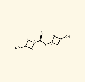 CC1CN(C(=O)CN2CC(O)C2)C1